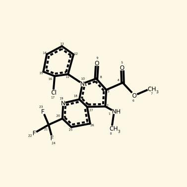 CNc1c(C(=O)OC)c(=O)n(-c2ccccc2Cl)c2nc(C(F)(F)F)ccc12